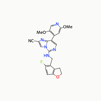 COc1cc(-c2cnc(NCc3c(F)ccc4c3CCO4)n3cc(C#N)nc23)c(OC)cn1